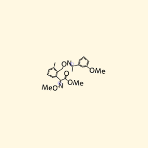 CO/N=C(/C(=O)OC)c1cccc(C)c1CO/N=C(\C)c1cccc(OC)c1